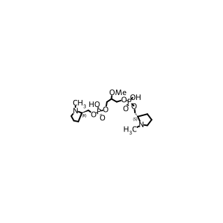 COC(COP(=O)(O)OC[C@H]1CCCN1C)COP(=O)(O)OC[C@@H]1CCCN1C